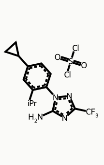 CC(C)c1cc(C2CC2)ccc1-n1nc(C(F)(F)F)nc1N.O=S(=O)(Cl)Cl